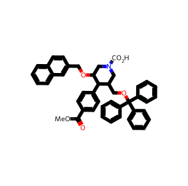 COC(=O)c1ccc(C2C(COC(c3ccccc3)(c3ccccc3)c3ccccc3)CN(C(=O)O)CC2OCc2ccc3ccccc3c2)cc1